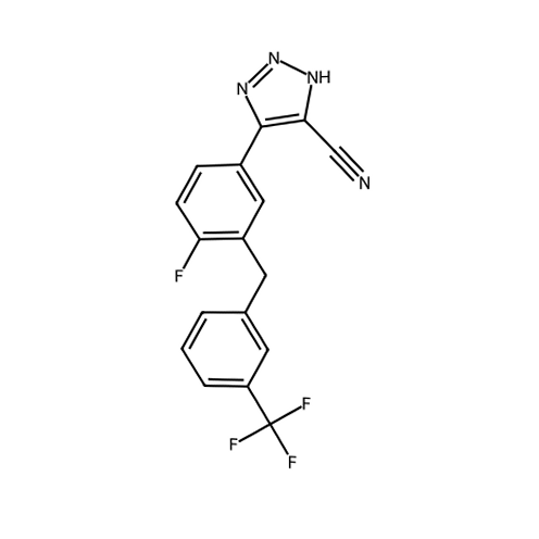 N#Cc1[nH]nnc1-c1ccc(F)c(Cc2cccc(C(F)(F)F)c2)c1